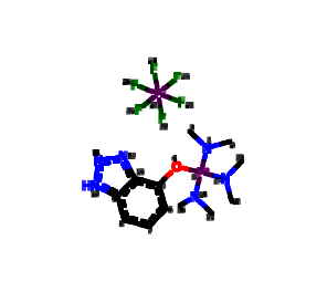 CN(C)[P+](Oc1cccc2[nH]nnc12)(N(C)C)N(C)C.F[P-](F)(F)(F)(F)F